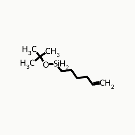 C=CCCCC[SiH2]OC(C)(C)C